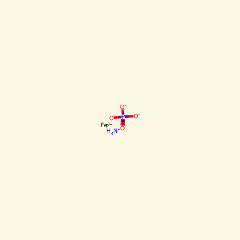 O=P([O-])([O-])[O-].[F-].[Fe+3].[NH4+]